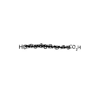 O=C(O)OCCOCCOCCOCCOCCOCCOCCOCCO